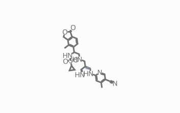 Cc1cc(N/C=C(\C=N)CNCC(NS(=O)(=O)C2CC2)c2ccc3c(c2C)COC3=O)ncc1C#N